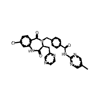 Cc1cnc(NC(=O)c2ccc(CN3C(=O)c4ccc(Cl)cc4NC(=O)C3Cc3cnccn3)cc2)nc1